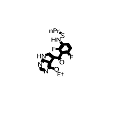 CCCSNc1ccc(F)c(C(=O)c2c[nH]c3ncnc(OCC)c23)c1F